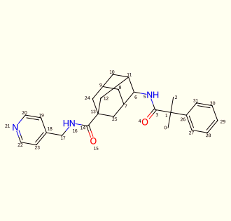 CC(C)(C(=O)NC1C2CC3CC1CC(C(=O)NCc1ccncc1)(C3)C2)c1ccccc1